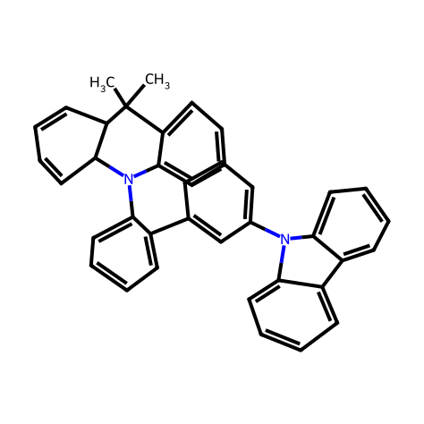 CC1(C)c2ccccc2N(c2ccccc2-c2cccc(-n3c4ccccc4c4ccccc43)c2)C2C=CC=CC21